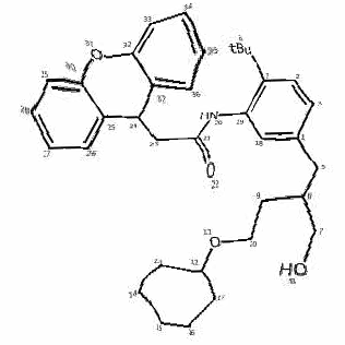 CC(C)(C)c1ccc(CC(CO)CCOC2CCCCC2)cc1NC(=O)CC1c2ccccc2Oc2ccccc21